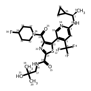 C[C@@H](Nc1cc(C(F)(F)F)c(-c2sc(C(=O)NCC(C)(C)O)nc2C(=O)N2CCC(F)CC2)cn1)C1CC1